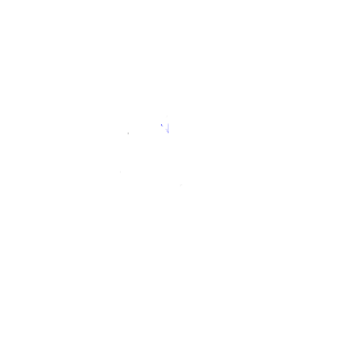 [CH2]c1c(C)ccnc1C